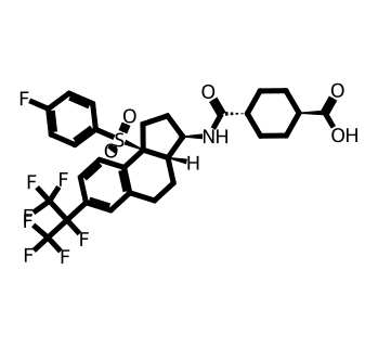 O=C(O)[C@H]1CC[C@H](C(=O)N[C@@H]2CC[C@@]3(S(=O)(=O)c4ccc(F)cc4)c4ccc(C(F)(C(F)(F)F)C(F)(F)F)cc4CC[C@@H]23)CC1